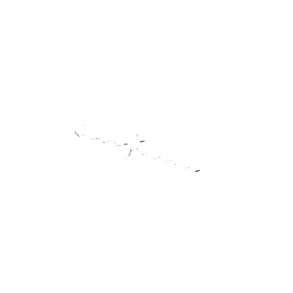 CCCCCCCC/C=C\CCCCCCCCCCC(C(N)=O)C(=O)CCCCCCC/C=C\CCCCCCCC